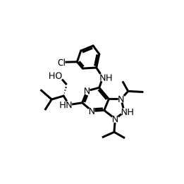 CC(C)[C@H](CO)Nc1nc(Nc2cccc(Cl)c2)c2c(n1)N(C(C)C)NN2C(C)C